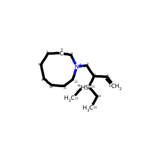 C=CC(CN1CCCCCCCC1)[SiH](CC)CC